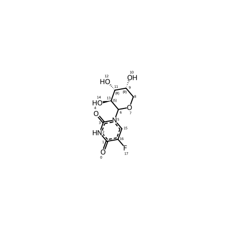 O=c1[nH]c(=O)n(C2OC[C@@H](O)[C@@H](O)[C@@H]2O)cc1F